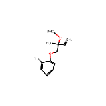 C=CC(C)(COc1ccccc1[N+](=O)[O-])OC=O